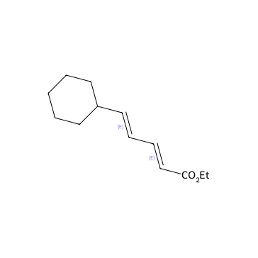 CCOC(=O)/C=C/C=C/C1CCCCC1